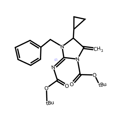 C=C1C(C2CC2)N(Cc2ccccc2)/C(=N/C(=O)OC(C)(C)C)N1C(=O)OC(C)(C)C